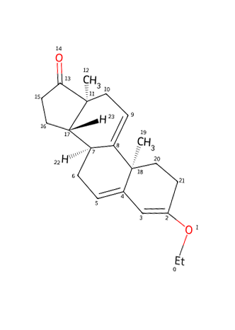 CCOC1=CC2=CC[C@@H]3C(=CC[C@]4(C)C(=O)CC[C@@H]34)[C@@]2(C)CC1